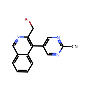 N#Cc1ncc(-c2c(CBr)ncc3ccccc23)cn1